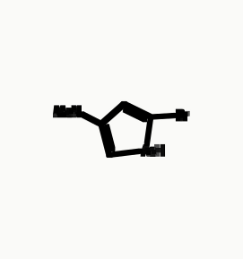 CNC1=C[AsH]C(Br)=C1